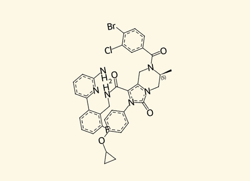 C[C@H]1Cn2c(c(C(=O)NCc3c(F)cccc3-c3cccc(N)n3)n(-c3ccc(OC4CC4)cc3)c2=O)CN1C(=O)c1ccc(Br)c(Cl)c1